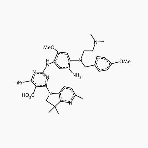 COc1ccc(CN(CCN(C)C)c2cc(OC)c(Nc3nc(C(C)C)c(C(=O)O)c(N4CC(C)(C)c5nc(C)ccc54)n3)cc2N)cc1